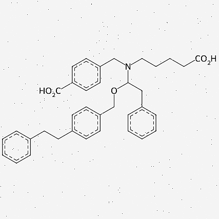 O=C(O)CCCCN(Cc1ccc(C(=O)O)cc1)C(Cc1ccccc1)OCc1ccc(CCc2ccccc2)cc1